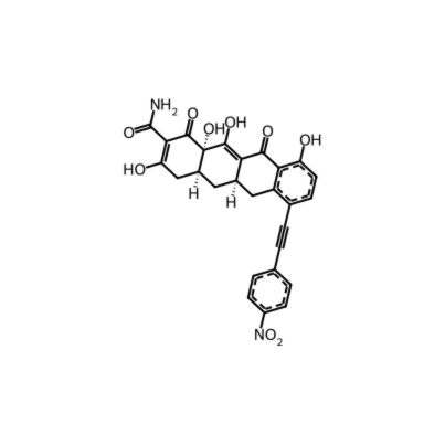 NC(=O)C1=C(O)C[C@@H]2C[C@@H]3Cc4c(C#Cc5ccc([N+](=O)[O-])cc5)ccc(O)c4C(=O)C3=C(O)[C@]2(O)C1=O